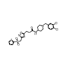 O=C(CCc1nc(CS(=O)(=O)c2cccs2)no1)NC1CCN(Cc2ccc(Cl)c(Cl)c2)CC1